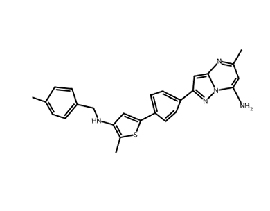 Cc1ccc(CNc2cc(-c3ccc(-c4cc5nc(C)cc(N)n5n4)cc3)sc2C)cc1